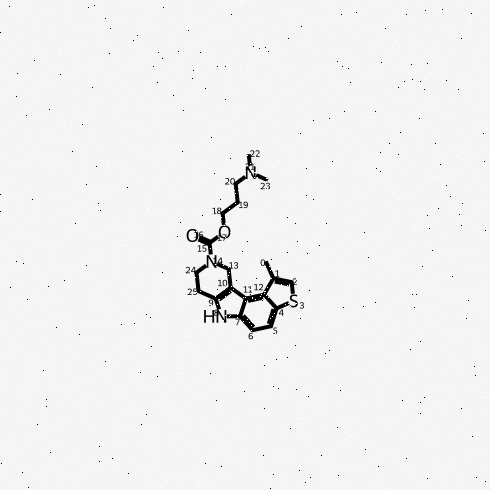 Cc1csc2ccc3[nH]c4c(c3c12)CN(C(=O)OCCCN(C)C)CC4